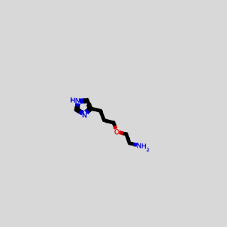 NCCOCCCc1c[nH]cn1